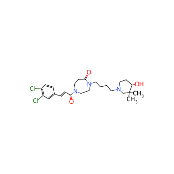 CC1(C)CN(CCCCN2CCN(C(=O)/C=C/c3ccc(Cl)c(Cl)c3)CCC2=O)CCC1O